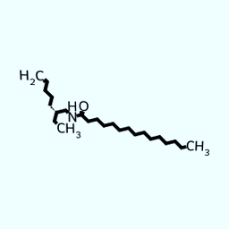 C=CCCC[C@@H](CC)CNC(=O)CCCCCCCCCCCCCC